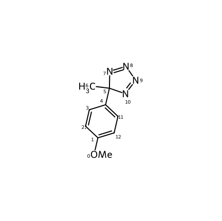 COc1[c]cc(C2(C)N=NN=N2)cc1